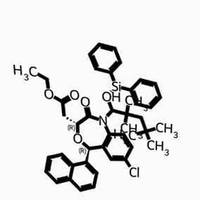 CCOC(=O)C[C@H]1O[C@H](c2cccc3ccccc23)c2cc(Cl)ccc2N(C(O[SiH](c2ccccc2)c2ccccc2)C(C)(C)CC(C)(C)C)C1=O